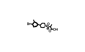 Cc1cc(C2CCN(S(=O)(=O)C(C)C(=O)O)CC2)ccc1Br